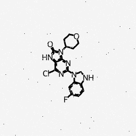 O=c1[nH]c2c(Cl)nc(N3CNc4ccc(F)cc43)nc2n1C1CCOCC1